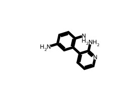 Nc1ccc(N)c(-c2cccnc2N)c1